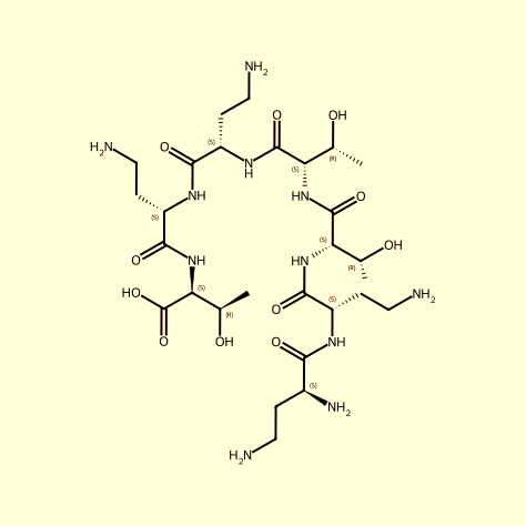 C[C@@H](O)[C@H](NC(=O)[C@H](CCN)NC(=O)[C@H](CCN)NC(=O)[C@@H](NC(=O)[C@@H](NC(=O)[C@H](CCN)NC(=O)[C@@H](N)CCN)[C@@H](C)O)[C@@H](C)O)C(=O)O